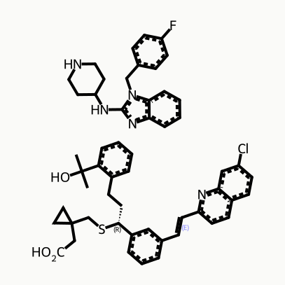 CC(C)(O)c1ccccc1CC[C@@H](SCC1(CC(=O)O)CC1)c1cccc(/C=C/c2ccc3ccc(Cl)cc3n2)c1.Fc1ccc(Cn2c(NC3CCNCC3)nc3ccccc32)cc1